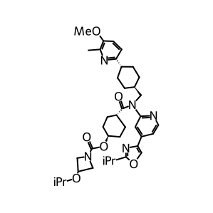 COc1ccc([C@H]2CC[C@H](CN(c3cc(-c4coc(C(C)C)n4)ccn3)C(=O)[C@H]3CC[C@H](OC(=O)N4CC(OC(C)C)C4)CC3)CC2)nc1C